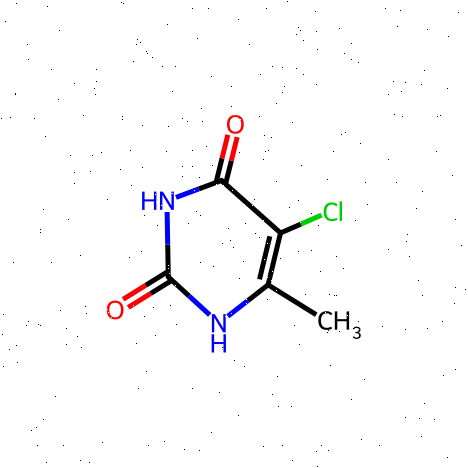 Cc1[nH]c(=O)[nH]c(=O)c1Cl